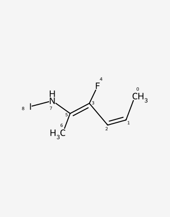 C/C=C\C(F)=C(/C)NI